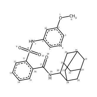 COc1cncc(NS(=O)(=O)c2ccccc2C(=O)NC2C3CC4CC(C3)CC2C4)c1